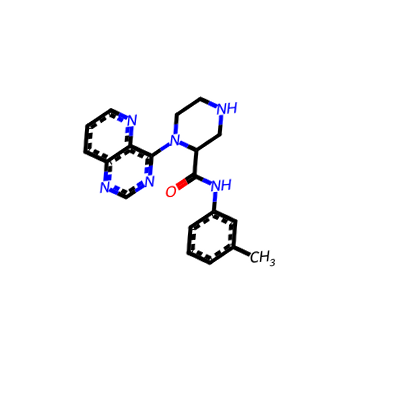 Cc1cccc(NC(=O)C2CNCCN2c2ncnc3cccnc23)c1